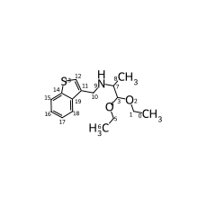 CCOC(OCC)C(C)NCc1csc2ccccc12